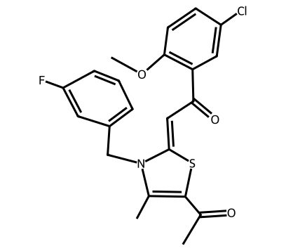 COc1ccc(Cl)cc1C(=O)C=C1SC(C(C)=O)=C(C)N1Cc1cccc(F)c1